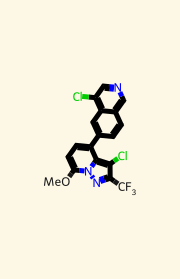 COc1ccc(-c2ccc3cncc(Cl)c3c2)c2c(Cl)c(C(F)(F)F)nn12